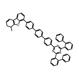 CC1CC=Cc2c1oc1c(-c3ccc(-c4ccc(-c5ccc(-c6nc(-c7ccccc7-c7ccccc7)nc(-c7ccccc7-c7ccccc7)n6)cc5)cc4)cc3)cccc21